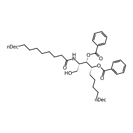 CCCCCCCCCCCCCCCCCC(=O)N[C@@H](CO)[C@H](OC(=O)c1ccccc1)[C@@H](CCCCCCCCCCCCCC)OC(=O)c1ccccc1